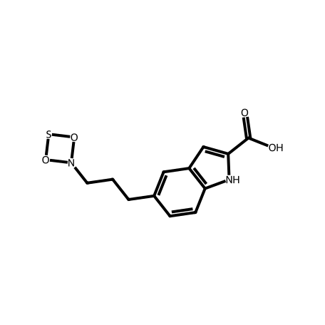 O=C(O)c1cc2cc(CCCN3OSO3)ccc2[nH]1